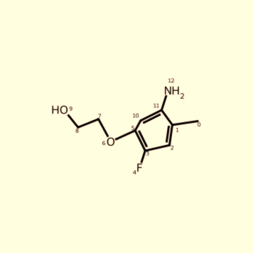 Cc1cc(F)c(OCCO)cc1N